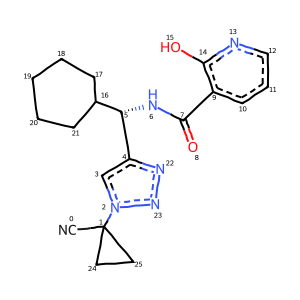 N#CC1(n2cc([C@@H](NC(=O)c3cccnc3O)C3CCCCC3)nn2)CC1